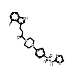 O=C(CCc1c[nH]c2cccc(F)c12)N1CCN(c2ccc(S(=O)(=O)Nc3nccs3)cc2)CC1